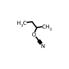 CCC(C)OC#N